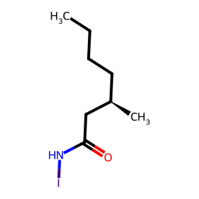 CCCC[C@@H](C)CC(=O)NI